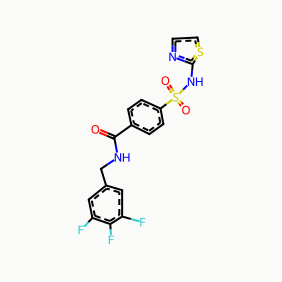 O=C(NCc1cc(F)c(F)c(F)c1)c1ccc(S(=O)(=O)Nc2nccs2)cc1